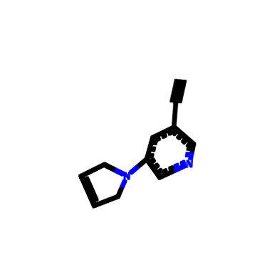 C#Cc1cncc(N2CC=CC2)c1